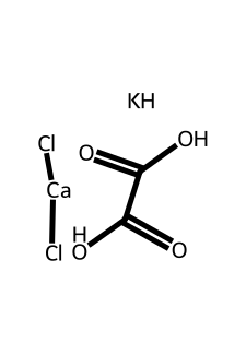 O=C(O)C(=O)O.[Cl][Ca][Cl].[KH]